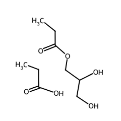 CCC(=O)O.CCC(=O)OCC(O)CO